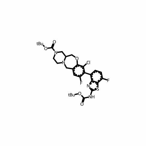 CC(C)(C)OC(=O)Nc1nc2c(-c3c(F)cc4c(c3Cl)OCC3CN(C(=O)OC(C)(C)C)CCN3C4)ccc(F)c2s1